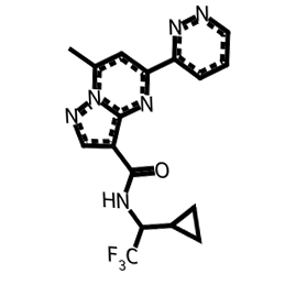 Cc1cc(-c2cccnn2)nc2c(C(=O)NC(C3CC3)C(F)(F)F)cnn12